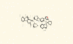 CC1(C)c2ccccc2N(c2cccc3c2sc2c4c(ccc23)C2(c3ccccc3-c3ccccc32)c2ccc3c5c(ccc-4c25)CC3)c2cc3c(cc21)-c1ccccc1[Si]3(C)C